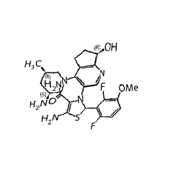 COc1ccc(F)c(C2SC(N)=C(C(N)=O)N2c2cnc3c(c2N2C[C@H](C)C[C@H](N)C2)CC[C@H]3O)c1F